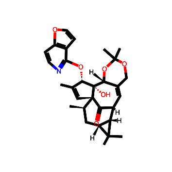 CC1=C[C@]23C(=O)[C@@H](C=C4COC(C)(C)O[C@H]4[C@]2(O)[C@H]1Oc1nccc2occc12)[C@H]1[C@@H](C[C@H]3C)C1(C)C